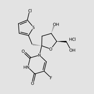 Cl.O=c1[nH]c(=O)n([C@@]2(Cc3ccc(Cl)s3)C[C@H](O)[C@@H](CO)O2)cc1F